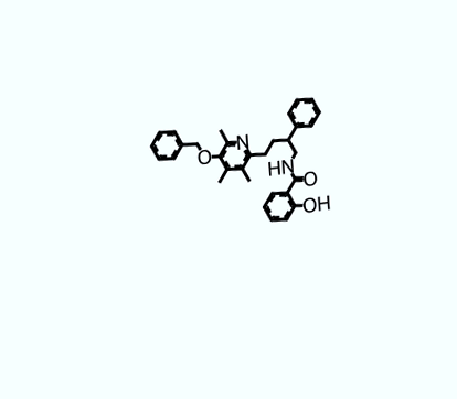 Cc1nc(CCC(CNC(=O)c2ccccc2O)c2ccccc2)c(C)c(C)c1OCc1ccccc1